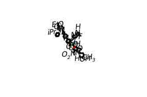 CCS(=O)(=O)N1CCN(C2CC3(CCN(c4ccc(C(=O)NS(=O)(=O)c5cc6c(c([N+](=O)[O-])c5)N[C@@H]([C@H]5CC[C@](C)(O)CC5)CO6)c(Oc5cnc6[nH]cc(F)c6c5)c4)CC3)C2)[C@H](c2ccccc2C(C)C)C1